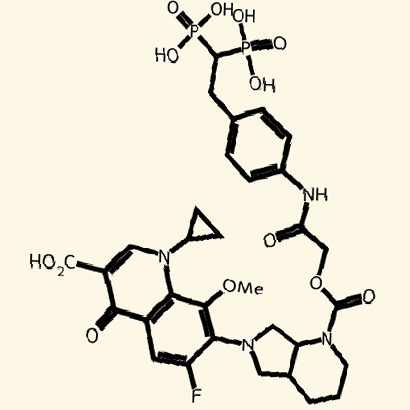 COc1c(N2CC3CCCN(C(=O)OCC(=O)Nc4ccc(CC(P(=O)(O)O)P(=O)(O)O)cc4)C3C2)c(F)cc2c(=O)c(C(=O)O)cn(C3CC3)c12